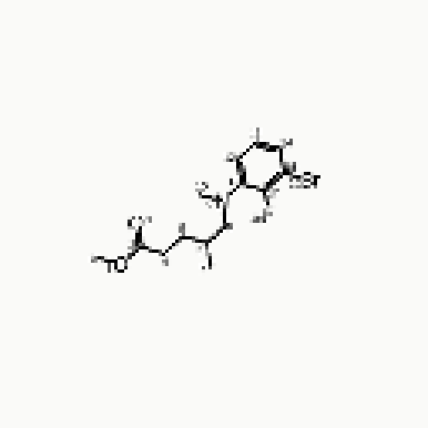 COC(=O)CC[C@H](C)CN(C)c1cccc(Br)c1F